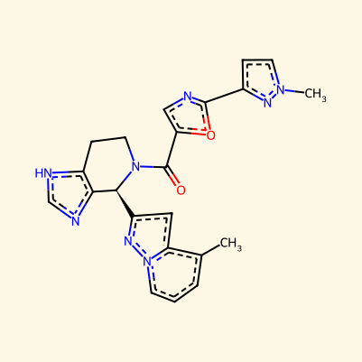 Cc1cccn2nc([C@H]3c4nc[nH]c4CCN3C(=O)c3cnc(-c4ccn(C)n4)o3)cc12